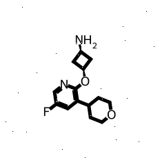 N[C@H]1C[C@@H](Oc2ncc(F)cc2C2CCOCC2)C1